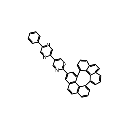 c1ccc(-c2cnc(-c3cnc(-c4cc5ccc6cccc7c8cccc9ccc%10cccc(c(c4)c5c67)c%10c98)nc3)cn2)cc1